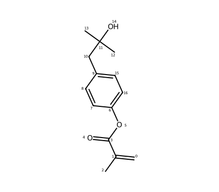 C=C(C)C(=O)Oc1ccc(CC(C)(C)O)cc1